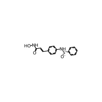 O=C(/C=C/c1ccc(N[S+]([O-])c2ccccc2)cc1)NO